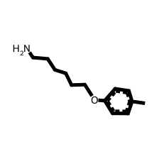 Cc1ccc(OCCCCCCN)cc1